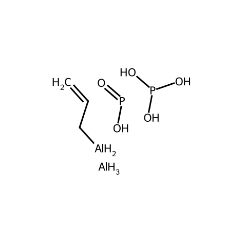 C=C[CH2][AlH2].O=PO.OP(O)O.[AlH3]